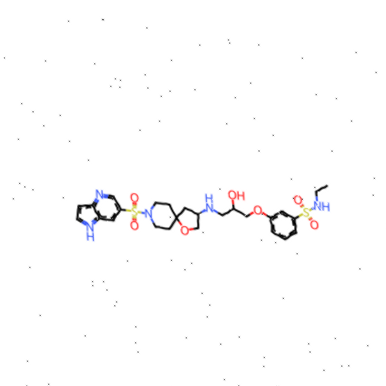 CCNS(=O)(=O)c1cccc(OCC(O)CN[C@H]2COC3(CCN(S(=O)(=O)c4cnc5cc[nH]c5c4)CC3)C2)c1